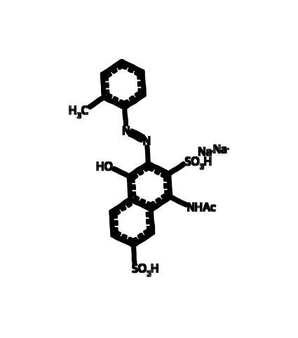 CC(=O)Nc1c(S(=O)(=O)O)c(N=Nc2ccccc2C)c(O)c2ccc(S(=O)(=O)O)cc12.[Na].[Na]